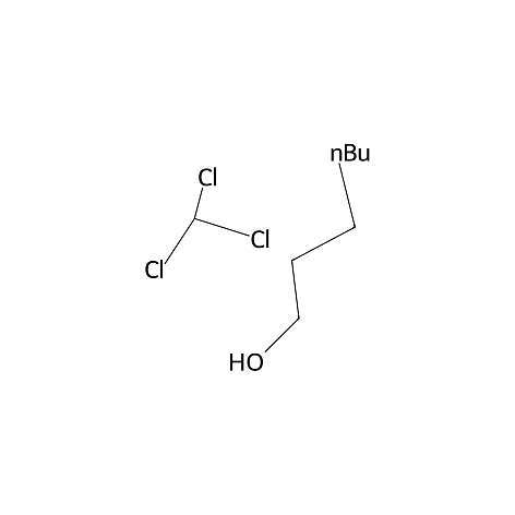 CCCCCCCO.ClC(Cl)Cl